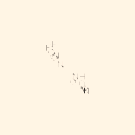 Cn1cc2ccc(C(=O)N[C@H]3CC[C@H](CCN4CCc5sc(OCC(C)(F)F)nc5C4)CC3)cc2n1